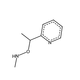 CNOC(C)c1ccccn1